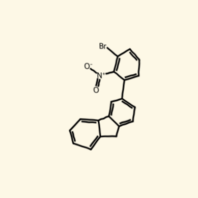 O=[N+]([O-])c1c(Br)cccc1-c1ccc2c(c1)-c1ccccc1C2